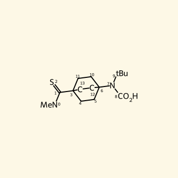 CNC(=S)C12CCC(N(C(=O)O)C(C)(C)C)(CC1)CC2